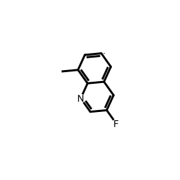 Cc1c[c]cc2cc(F)cnc12